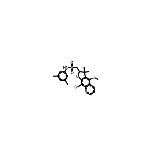 COc1c2c(c(Br)c3ncccc13)OC(CS(=O)(=O)Nc1cc(C)cc(C)c1)C2(C)C